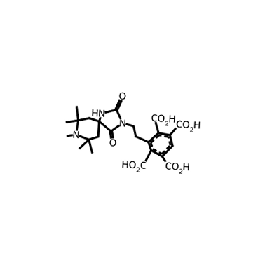 CN1C(C)(C)CC2(CC1(C)C)NC(=O)N(CCc1c(C(=O)O)c(C(=O)O)cc(C(=O)O)c1C(=O)O)C2=O